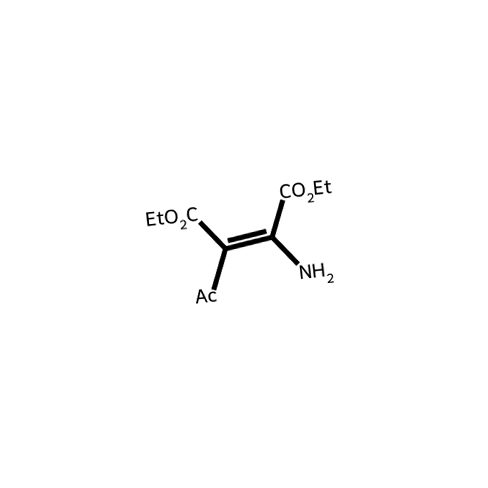 CCOC(=O)C(N)=C(C(C)=O)C(=O)OCC